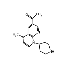 CC(=O)c1cnc2c(c1)N(C)C=CN2C1CCNCC1